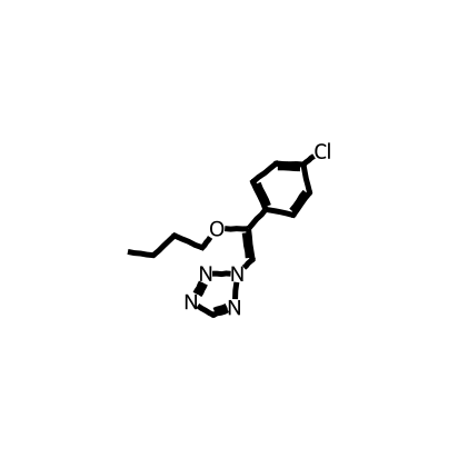 CCCCO/C(=C\n1ncnn1)c1ccc(Cl)cc1